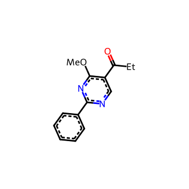 CCC(=O)c1cnc(-c2ccccc2)nc1OC